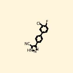 N#Cc1[nH]nnc1-c1ccc(-c2ccc(F)c(Cl)c2)cc1